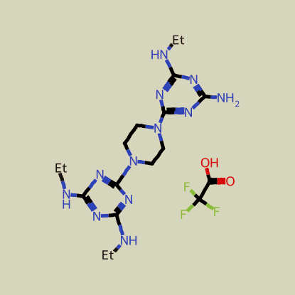 CCNc1nc(N)nc(N2CCN(c3nc(NCC)nc(NCC)n3)CC2)n1.O=C(O)C(F)(F)F